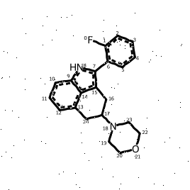 Fc1ccccc1-c1[nH]c2cccc3c2c1CC(N1CCOCC1)C3